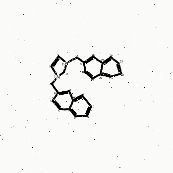 C1=CN(Cc2ccc3ccccc3c2)CN1Cc1ccc2ccccc2c1